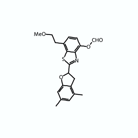 COCCc1ccc(OC=O)c2nc(C3Cc4c(C)cc(C)cc4O3)sc12